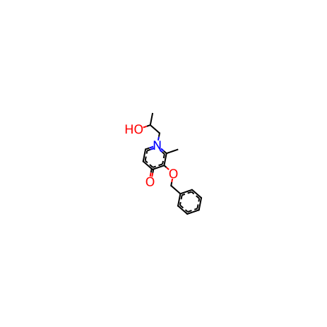 Cc1c(OCc2ccccc2)c(=O)ccn1CC(C)O